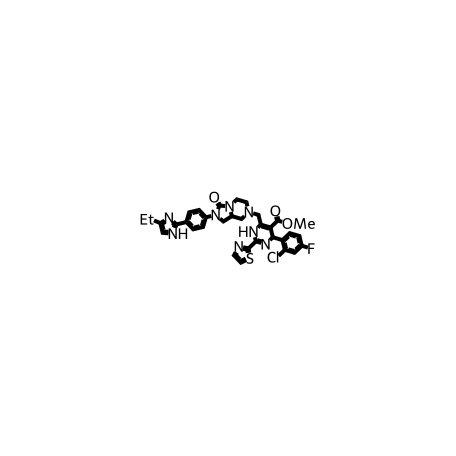 CCc1c[nH]c(-c2ccc(N3CC4CN(CC5=C(C(=O)OC)C(c6ccc(F)cc6Cl)N=C(c6nccs6)N5)CCN4C3=O)cc2)n1